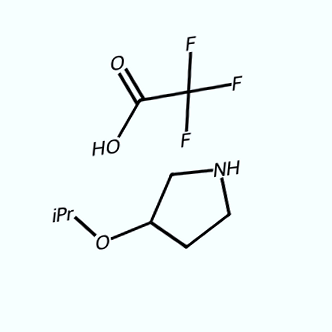 CC(C)OC1CCNC1.O=C(O)C(F)(F)F